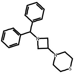 c1ccc(C(c2ccccc2)N2CC(N3CCSCC3)C2)cc1